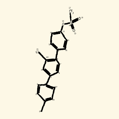 Cc1ccc(-c2ccc(-c3ccc(OS(=O)(=O)C(F)(F)F)cc3)c(Cl)c2)cc1